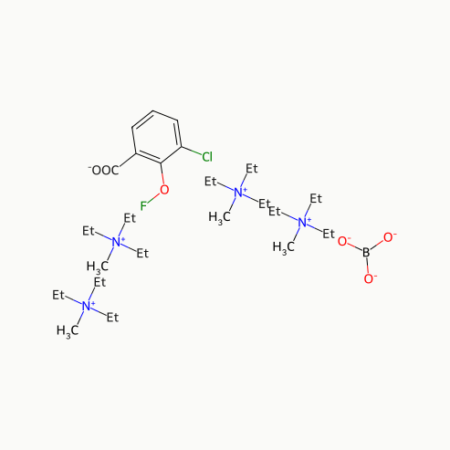 CC[N+](C)(CC)CC.CC[N+](C)(CC)CC.CC[N+](C)(CC)CC.CC[N+](C)(CC)CC.O=C([O-])c1cccc(Cl)c1OF.[O-]B([O-])[O-]